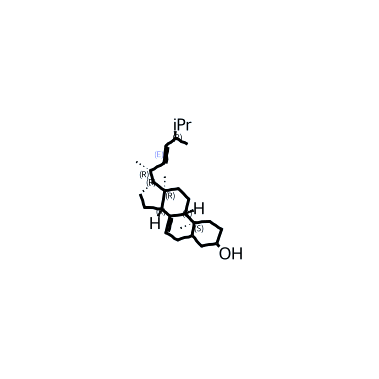 CC(C)[C@@H](C)/C=C/[C@@H](C)[C@H]1CC[C@H]2C3=CCC4CC(O)CC[C@]4(C)[C@H]3CC[C@]12C